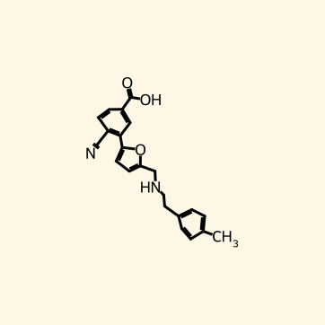 Cc1ccc(CCNCc2ccc(-c3cc(C(=O)O)ccc3C#N)o2)cc1